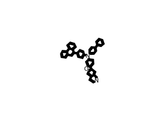 c1ccc(-c2ccc(N(c3ccc(-c4cc5ccccc5c5ccccc45)cc3)c3ccc4c(c3)oc3cc5ccncc5cc34)cc2)cc1